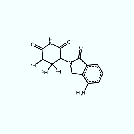 [2H]C1C(=O)NC(=O)C(N2Cc3c(N)cccc3C2=O)C1([2H])[2H]